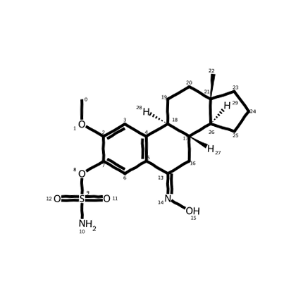 COc1cc2c(cc1OS(N)(=O)=O)/C(=N/O)C[C@@H]1[C@@H]2CC[C@]2(C)CCC[C@@H]12